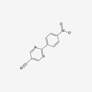 N#Cc1cnc(-c2ccc([N+](=O)[O-])cc2)nc1